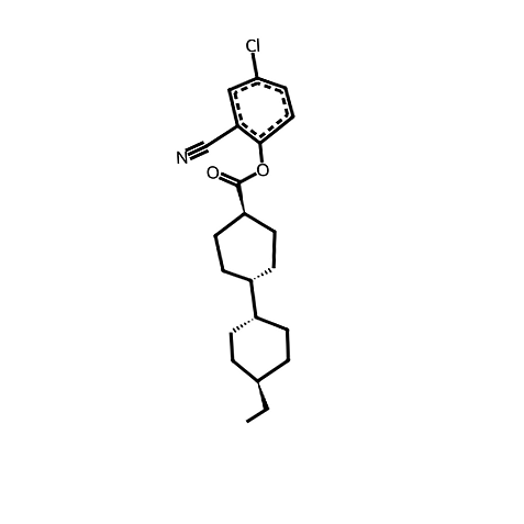 CC[C@H]1CC[C@H]([C@H]2CC[C@H](C(=O)Oc3ccc(Cl)cc3C#N)CC2)CC1